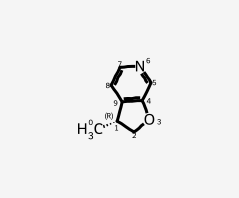 C[C@H]1COc2cnccc21